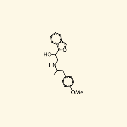 COc1ccc(CC(C)NCC(O)c2occ3ccccc23)cc1